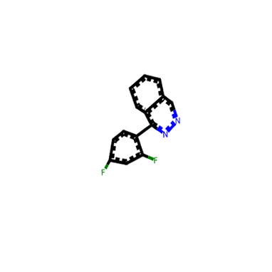 Fc1ccc(-c2nncc3ccccc23)c(F)c1